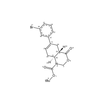 CC(C)(C)OC(=O)N1COC(=O)[C@H]2CC(c3cccc(Br)c3)=CC[C@@H]21